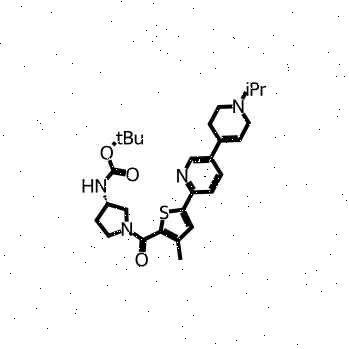 Cc1cc(-c2ccc(C3=CCN(C(C)C)CC3)cn2)sc1C(=O)N1CC[C@H](NC(=O)OC(C)(C)C)C1